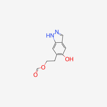 O=COCCc1cc2[nH]ncc2cc1O